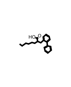 CCCCCCC(Cc1ccccc1-c1ccccc1)C(=O)O